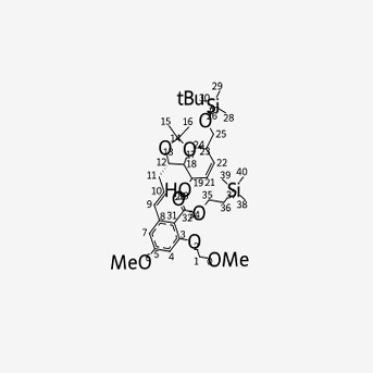 COCOc1cc(OC)cc(/C=C/C[C@@H]2OC(C)(C)OC2C(O)/C=C\[C@@H](C)CO[Si](C)(C)C(C)(C)C)c1C(=O)OCC[Si](C)(C)C